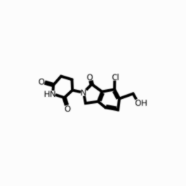 O=C1CCC(N2Cc3ccc(CO)c(Cl)c3C2=O)C(=O)N1